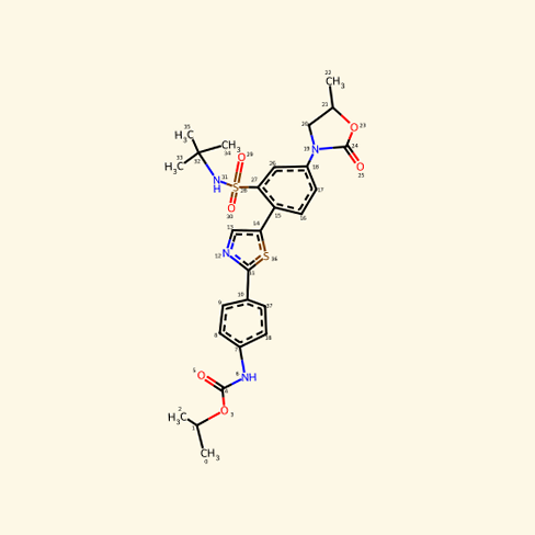 CC(C)OC(=O)Nc1ccc(-c2ncc(-c3ccc(N4CC(C)OC4=O)cc3S(=O)(=O)NC(C)(C)C)s2)cc1